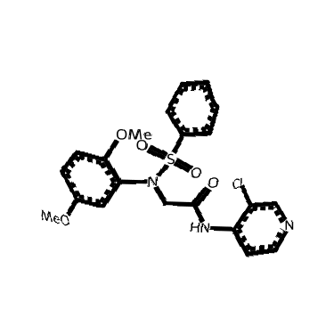 COc1ccc(OC)c(N(CC(=O)Nc2ccncc2Cl)S(=O)(=O)c2ccccc2)c1